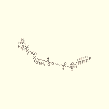 CC(C)(CC(=O)C(C)(C)CC(=O)C(C)(C)NC(=O)[C@@H](N)Cc1cnc[nH]1)C(=O)C[C@@H](CCCCNC(=O)COCCOCCNC(=O)CCCS(=O)(=O)NC(=O)CCC(F)(F)C(F)(F)C(F)(F)C(F)(F)C(F)(F)C(F)(F)F)C(N)=O